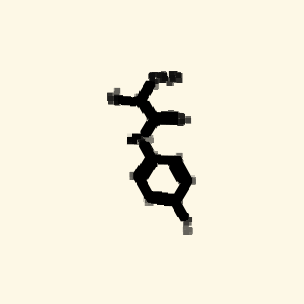 CCOC(=O)C(CC)C(=O)Nc1ccc(F)cc1